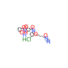 COc1cc(C(=O)N(C)c2ccc(C)cc2OCCCCCC(=O)N2CCN(C)CC2)ccc1NC(=O)c1ccccc1O.Cl